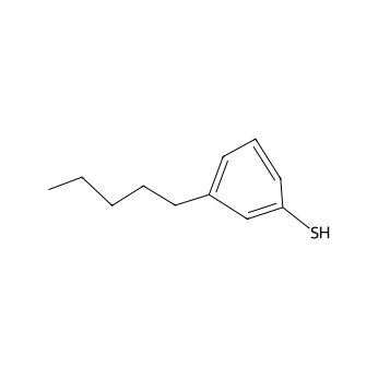 CCCCCc1cccc(S)c1